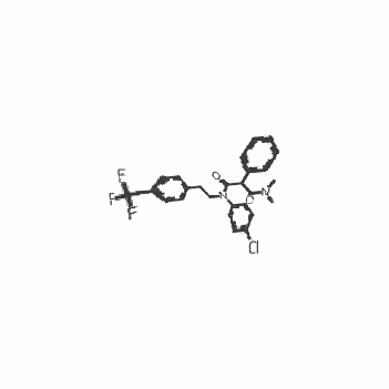 CN(C)C(=O)C(C(=O)N(CCc1ccc(C(F)(F)F)cc1)c1ccc(Cl)cc1)c1ccccc1